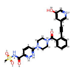 CS(=O)(=O)NC(=O)c1ccc(N2CCN(C(=O)c3ccccc3C#Cc3cncc(O)c3)CC2)nn1